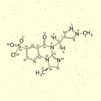 [2H]C([2H])(c1cnn(C)c1)N1C(=O)c2cc(S(=O)(=O)Cl)ccc2N2C1=NC[C@H]2C